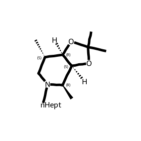 CCCCCCCN1C[C@H](C)[C@H]2OC(C)(C)O[C@H]2[C@H]1C